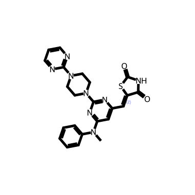 CN(c1ccccc1)c1cc(/C=C2\SC(=O)NC2=O)nc(N2CCN(c3ncccn3)CC2)n1